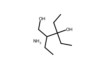 CCC(CO)C(O)(CC)CC.N